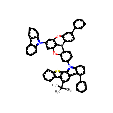 CC(C)(C)c1cc2c3c(-c4ccccc4)cccc3n(-c3ccc4c(c3)Oc3cc(-n5c6ccccc6c6ccccc65)cc5c3B4c3ccc(-c4ccccc4)cc3O5)c2c2sc3ccccc3c12